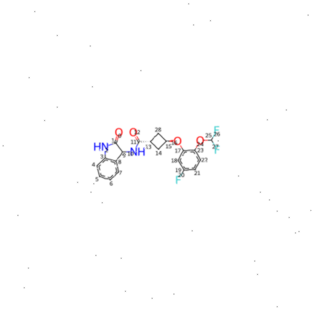 O=C1Nc2ccccc2C1NC(=O)[C@H]1C[C@H](Oc2cc(F)ccc2OC(F)F)C1